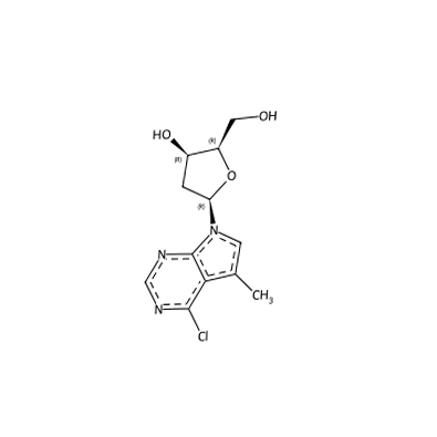 Cc1cn([C@H]2C[C@@H](O)[C@@H](CO)O2)c2ncnc(Cl)c12